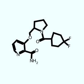 NC(=O)c1ncccc1OCC1CCCN1C(=O)C1CCC(F)(F)CC1